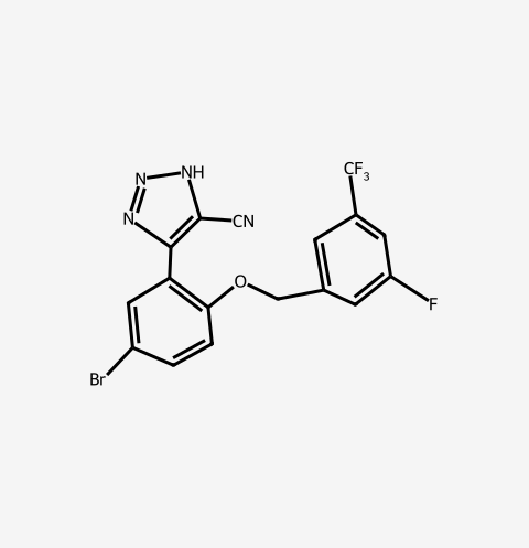 N#Cc1[nH]nnc1-c1cc(Br)ccc1OCc1cc(F)cc(C(F)(F)F)c1